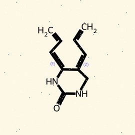 C=C/C=C1/CNC(=O)N/C1=C/C=C